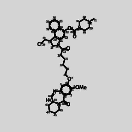 COc1cc2c(cc1OCCCCCC(=O)N1C[C@@H](CCl)c3c1cc(OC(=O)N1CCN(C)CC1)c1ccccc31)N=C[C@@H]1CCCCN1C2=O